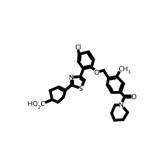 Cc1cc(C(=O)N2CCCCC2)ccc1COc1ccc(Cl)cc1-c1csc(C2=CCC(C(=O)O)CC2)n1